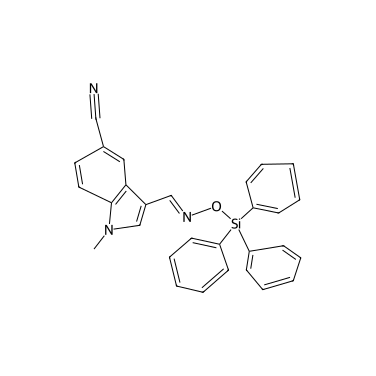 Cn1cc(C=NO[Si](c2ccccc2)(c2ccccc2)c2ccccc2)c2cc(C#N)ccc21